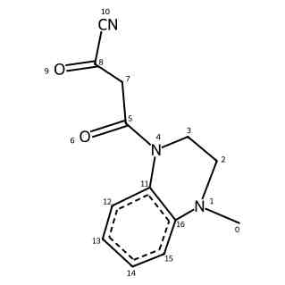 CN1CCN(C(=O)CC(=O)C#N)c2ccccc21